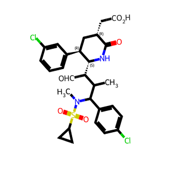 CC(C(C=O)[C@H]1NC(=O)[C@@H](CC(=O)O)C[C@@H]1c1cccc(Cl)c1)C(c1ccc(Cl)cc1)N(C)S(=O)(=O)C1CC1